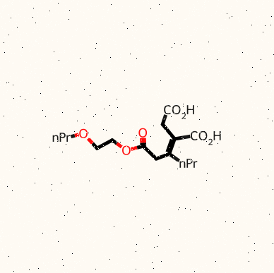 CCCOCCOC(=O)CC(CCC)=C(CC(=O)O)C(=O)O